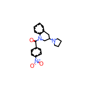 O=C(c1ccc([N+](=O)[O-])cc1)N1CC(N2CCCC2)Cc2ccccc21